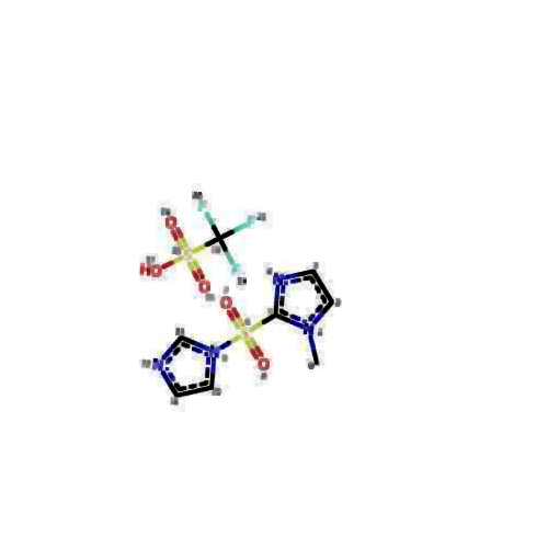 Cn1ccnc1S(=O)(=O)n1ccnc1.O=S(=O)(O)C(F)(F)F